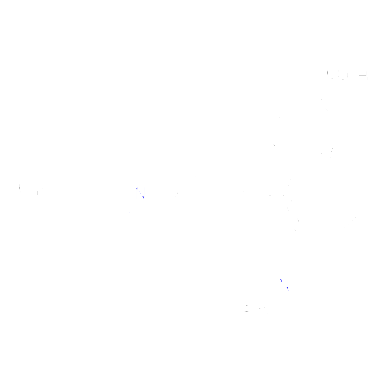 O=CC1CCN(c2ccc(C3=C(c4ccccn4)CCCc4cc(C(=O)O)ccc43)cc2)CC1